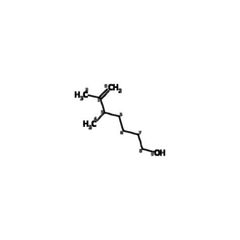 C=C(C)C(C)CCCCO